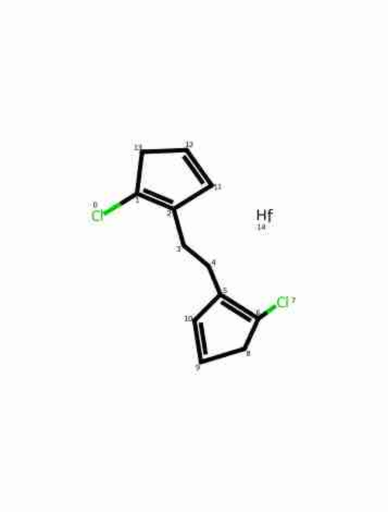 ClC1=C(CCC2=C(Cl)CC=C2)C=CC1.[Hf]